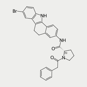 O=C(Nc1ccc2c(c1)CCc1c-2[nH]c2ccc(Br)cc12)[C@@H]1CCCN1C(=O)Cc1ccccc1